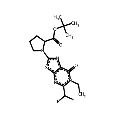 CCn1c(C(F)F)nc2sc(N3CCCC3C(=O)OC(C)(C)C)nc2c1=O